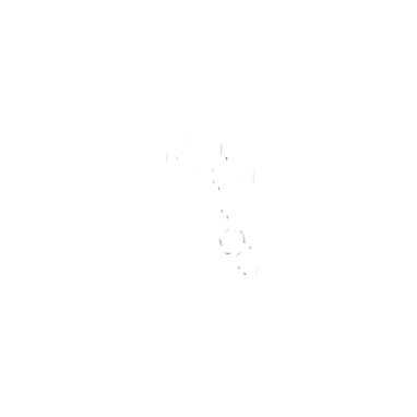 CC1CN(c2ccc(N)nc2)CCN1C(=O)OC(C)(C)C